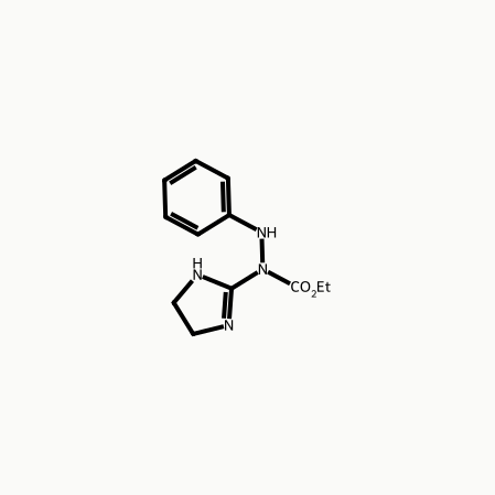 CCOC(=O)N(Nc1ccccc1)C1=NCCN1